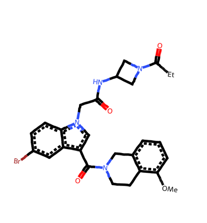 CCC(=O)N1CC(NC(=O)Cn2cc(C(=O)N3CCc4c(cccc4OC)C3)c3cc(Br)ccc32)C1